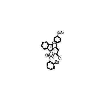 CSc1ccc(C2=CC(=O)O[C@]23[C@@H](O)c2ccccc2N3S(=O)(=O)c2ccccc2Br)cc1